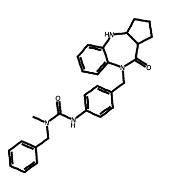 CN(Cc1ccccc1)C(=O)Nc1ccc(CN2C(=O)C3CCCC3Nc3ccccc32)cc1